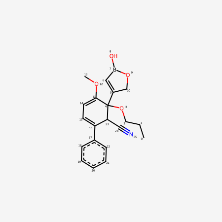 CCCOC1(C2=CB(O)OC2)C(OC)=CC=C(c2ccccc2)C1C#N